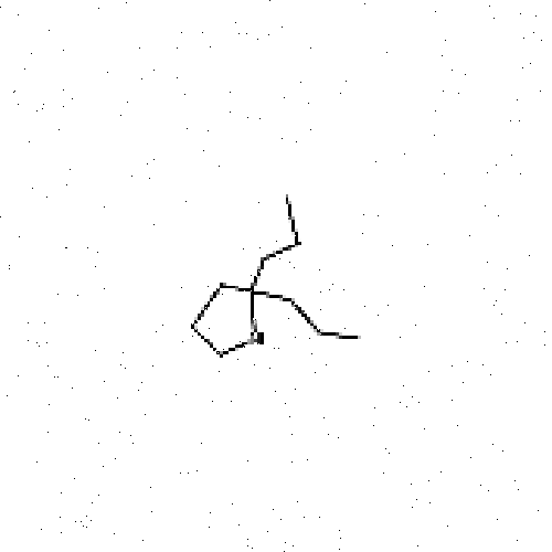 CCCC1(CCC)CCCN1